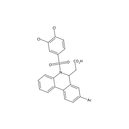 CC(=O)c1ccc2c(c1)C(CC(=O)O)N(S(=O)(=O)c1ccc(Cl)c(Cl)c1)c1ccccc1-2